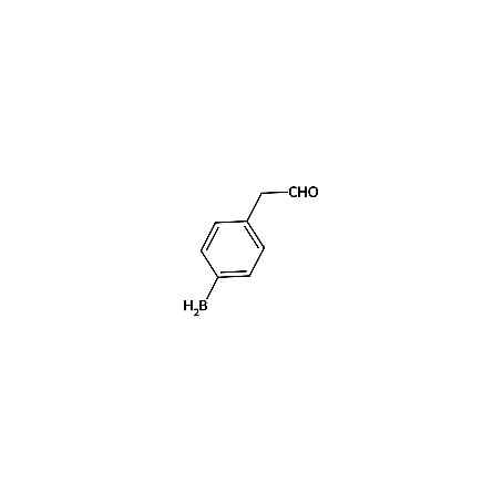 Bc1ccc(CC=O)cc1